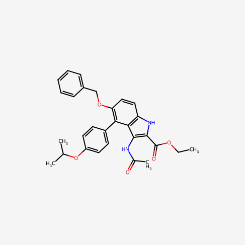 CCOC(=O)c1[nH]c2ccc(OCc3ccccc3)c(-c3ccc(OC(C)C)cc3)c2c1NC(C)=O